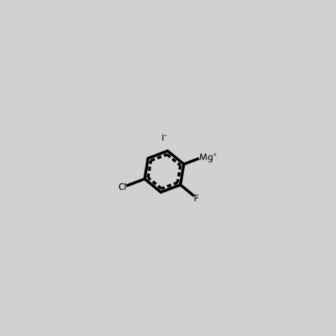 Fc1cc(Cl)cc[c]1[Mg+].[I-]